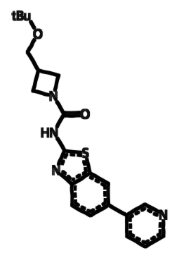 CC(C)(C)OCC1CN(C(=O)Nc2nc3ccc(-c4cccnc4)cc3s2)C1